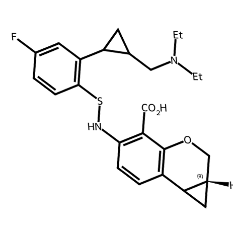 CCN(CC)CC1CC1c1cc(F)ccc1SNc1ccc2c(c1C(=O)O)OC[C@@H]1CC21